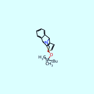 CC(C)(C)[Si](C)(C)OCCN1C2c3ccccc3C1c1sccc12